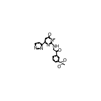 Cn1c(NCC(=O)c2cccc(S(C)(=O)=O)c2)nc(-c2ccncn2)cc1=O